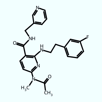 CC(=O)N(C)c1ccc(C(=O)NCc2cccnc2)c(NCCc2cccc(F)c2)n1